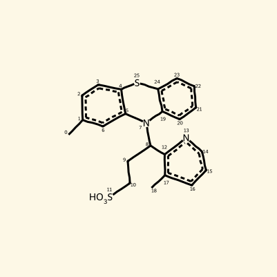 Cc1ccc2c(c1)N(C(CCS(=O)(=O)O)c1ncccc1C)c1ccccc1S2